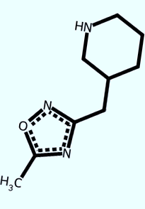 Cc1nc(CC2CCCNC2)no1